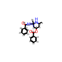 CC1CC(OC(=O)c2ccccc2)CC(C)(C)N1.NC(=O)c1ccccc1